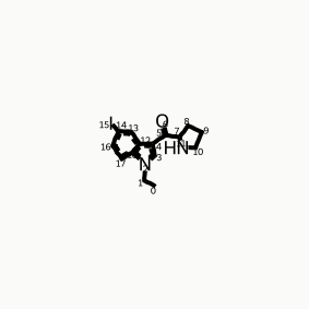 CCn1cc(C(=O)C2CCCN2)c2cc(I)ccc21